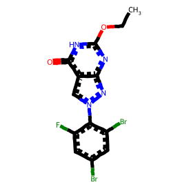 CCOc1nc2nn(-c3c(F)cc(Br)cc3Br)cc2c(=O)[nH]1